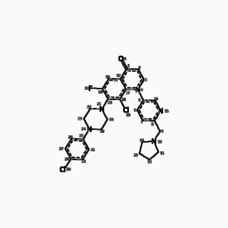 O=c1ccn(-c2ccc(CN3CCCC3)nc2)c2c(Cl)c(N3CCN(c4ccc(Cl)cc4)CC3)c(F)cc12